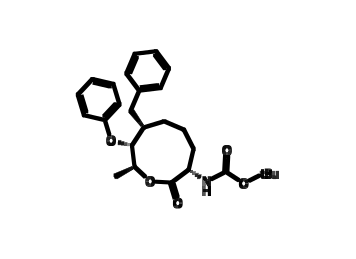 C[C@@H]1OC(=O)[C@@H](NC(=O)OC(C)(C)C)CCC[C@H](Cc2ccccc2)[C@H]1Oc1ccccc1